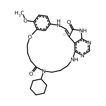 COc1ccc2cc1OCCCC(=O)N(C1CCCCC1)CCCNc1ncnc3c1/C(=C/N2)C(=O)N3